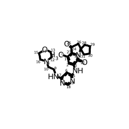 Cc1cc(Nc2cc(NCCN3CCOCC3)ncn2)c(=O)n2c1C(=O)CC21CCCC1